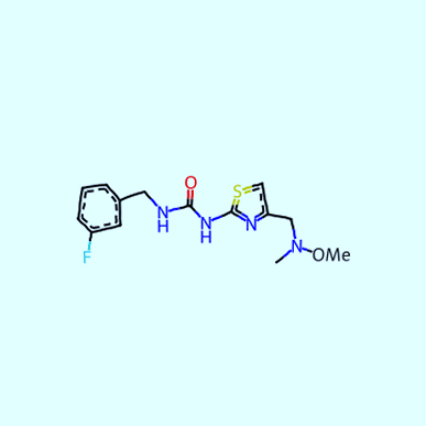 CON(C)Cc1csc(NC(=O)NCc2cccc(F)c2)n1